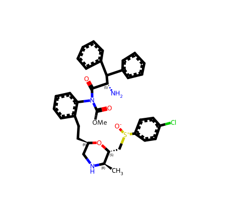 COC(=O)N(C(=O)[C@@H](N)C(c1ccccc1)c1ccccc1)c1ccccc1CC[C@@H]1CN[C@H](C)[C@@H](C[S+]([O-])c2ccc(Cl)cc2)O1